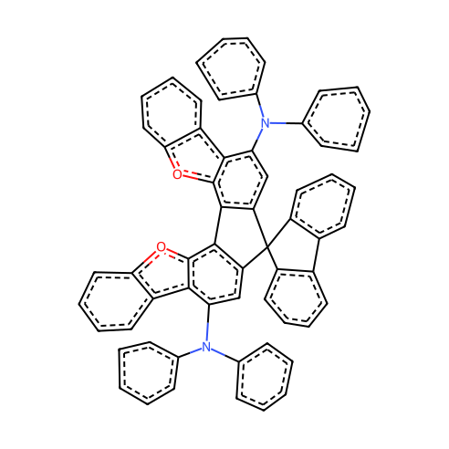 c1ccc(N(c2ccccc2)c2cc3c(c4oc5ccccc5c24)-c2c(cc(N(c4ccccc4)c4ccccc4)c4c2oc2ccccc24)C32c3ccccc3-c3ccccc32)cc1